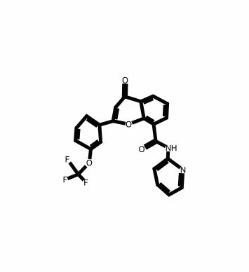 O=C(Nc1ccccn1)c1cccc2c(=O)cc(-c3cccc(OC(F)(F)F)c3)oc12